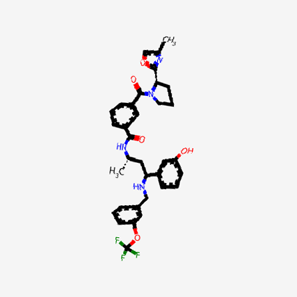 Cc1coc([C@H]2CCCN2C(=O)c2cccc(C(=O)N[C@@H](C)CC(NCc3cccc(OC(F)(F)F)c3)c3cccc(O)c3)c2)n1